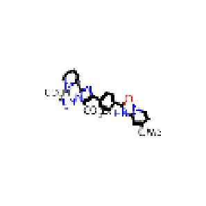 CCOC(=O)c1c(-c2ccc(C(=O)Nc3cc(OC)ccn3)cc2)nc([C@@H]2CCCCN2C(=O)O)n1N